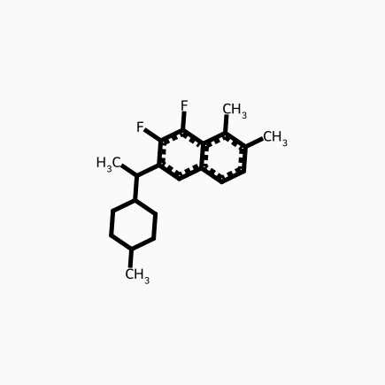 Cc1ccc2cc(C(C)C3CCC(C)CC3)c(F)c(F)c2c1C